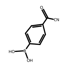 N#CC(=O)c1ccc(B(O)O)cc1